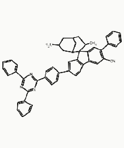 CC1CC2CC(C)C3(c4cc(-c5ccc(-c6nc(-c7ccccc7)nc(-c7ccccc7)n6)cc5)ccc4-c4cc(C#N)c(-c5ccccc5)cc43)C(C1)C2